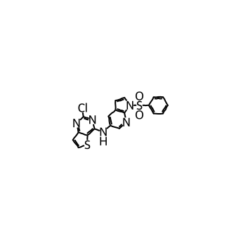 O=S(=O)(c1ccccc1)n1ccc2cc(Nc3nc(Cl)nc4ccsc34)cnc21